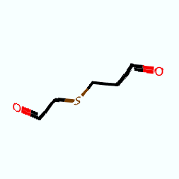 O=CCCSCC=O